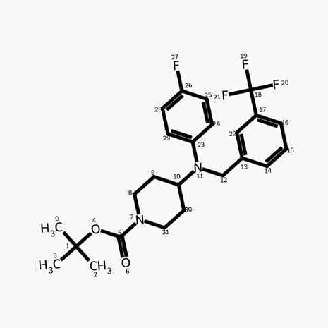 CC(C)(C)OC(=O)N1CCC(N(Cc2cccc(C(F)(F)F)c2)c2ccc(F)cc2)CC1